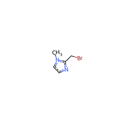 Cn1ccnc1CBr